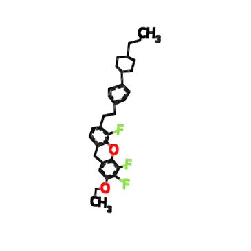 CCCC1CCC(c2ccc(CCc3ccc4c(c3F)Oc3c(cc(OCC)c(F)c3F)C4)cc2)CC1